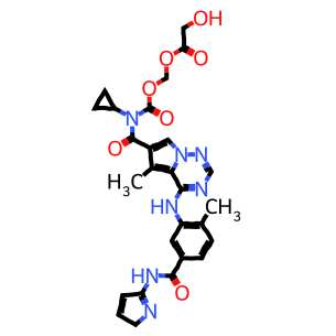 Cc1ccc(C(=O)NC2=NCC=C2)cc1Nc1ncnn2cc(C(=O)N(C(=O)OCOC(=O)CO)C3CC3)c(C)c12